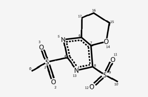 CS(=O)(=O)c1nc2c(c(S(C)(=O)=O)n1)OCCC2